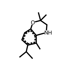 Cc1c(C(C)C)ccc2c1NCC(C)(C)O2